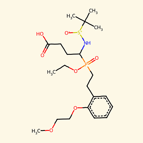 CCOP(=O)(CCc1ccccc1OCCOC)C(CCC(=O)O)N[S+]([O-])C(C)(C)C